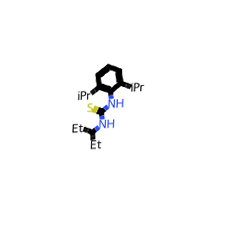 CCC(CC)NC(=S)Nc1c(C(C)C)cccc1C(C)C